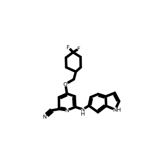 N#Cc1cc(OCC2CCC(F)(F)CC2)cc(Nc2ccc3cc[nH]c3c2)n1